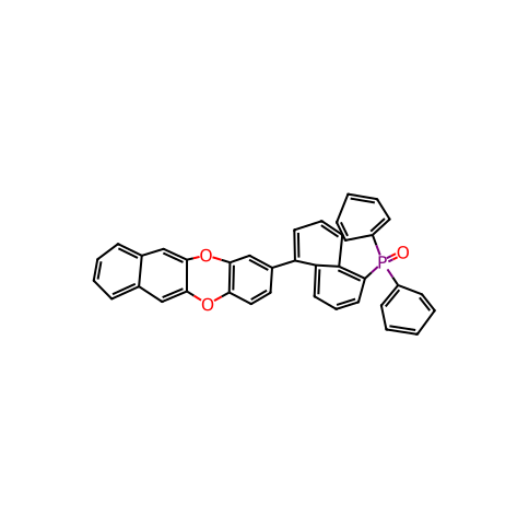 O=P(c1ccccc1)(c1ccccc1)c1cccc2c(-c3ccc4c(c3)Oc3cc5ccccc5cc3O4)cccc12